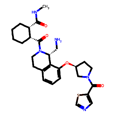 CNC(=O)[C@H]1CCCC[C@H]1C(=O)N1CCc2cccc(O[C@H]3CCN(C(=O)c4cncs4)C3)c2[C@H]1CN